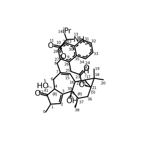 CC1C=C2[C@](O)(CC(COC(=O)C(N)C(C)C)=CC3[C@H]4C(C)(C)[C@]4(OC(=O)Cc4cccc5ccccc45)C[C@@H](C)[C@]23O)C1=O